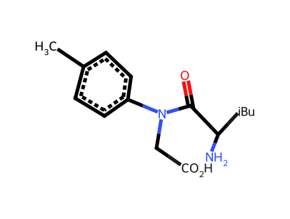 CCC(C)C(N)C(=O)N(CC(=O)O)c1ccc(C)cc1